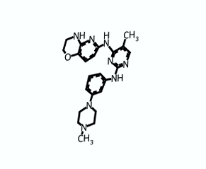 Cc1cnc(Nc2cccc(N3CCN(C)CC3)c2)nc1Nc1ccc2c(n1)NCCO2